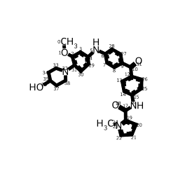 COc1cc(Nc2ccc(C(=O)c3ccc(NC(=O)c4cccn4C)cc3)cc2)ccc1N1CCC(O)CC1